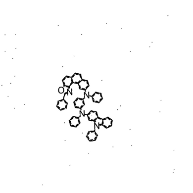 c1ccc(-c2nc3c(ccc4ccc5ccc(N(c6ccccc6)c6cccc(N(c7ccccc7)c7ccc8c9ccccc9n(-c9ccccc9)c8c7)c6)cc5c43)o2)cc1